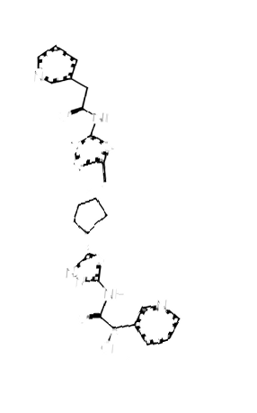 C[C@@H](C(=O)Nc1nnc([C@@H]2CC[C@H](Cc3nnc(NC(=O)Cc4cccnc4)s3)C2)s1)c1cccnc1